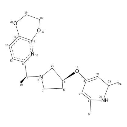 CC1=CC(O[C@H]2CCN([C@@H](C)c3ccc4c(n3)OCCO4)C2)=CC(C)N1